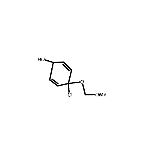 COCOC1(Cl)C=CC(O)C=C1